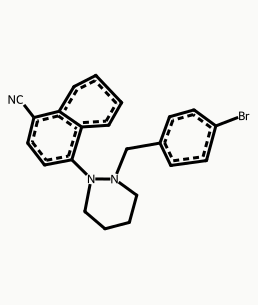 N#Cc1ccc(N2CCCCN2Cc2ccc(Br)cc2)c2ccccc12